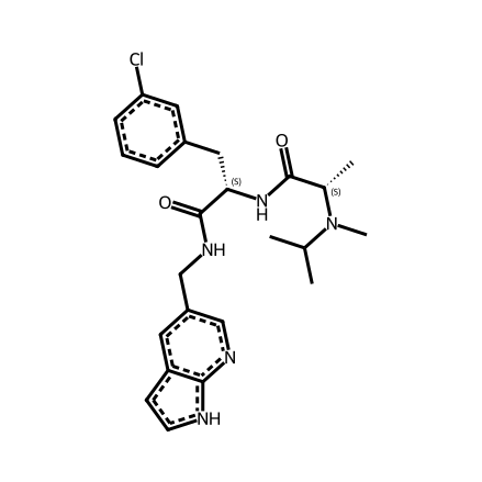 CC(C)N(C)[C@@H](C)C(=O)N[C@@H](Cc1cccc(Cl)c1)C(=O)NCc1cnc2[nH]ccc2c1